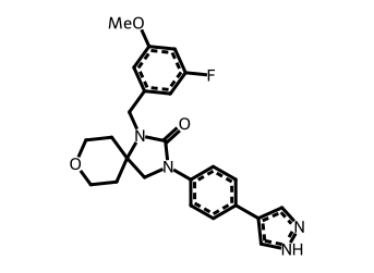 COc1cc(F)cc(CN2C(=O)N(c3ccc(-c4cn[nH]c4)cc3)CC23CCOCC3)c1